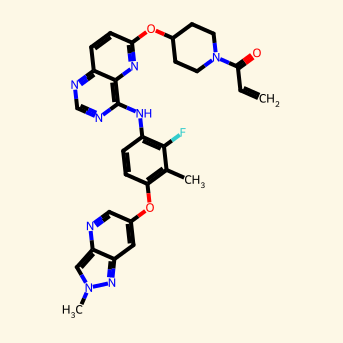 C=CC(=O)N1CCC(Oc2ccc3ncnc(Nc4ccc(Oc5cnc6cn(C)nc6c5)c(C)c4F)c3n2)CC1